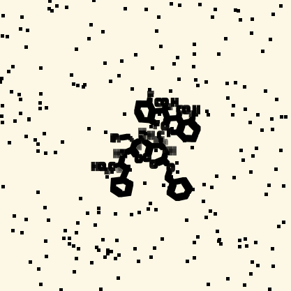 CC(C)C[C@H](NC(=O)[C@@H](C)NC(=O)OCc1ccccc1)C(=O)N[C@@H](Cc1ccccc1)C(=O)O.O=C(O)C(C(=O)C(C(=O)O)c1c(F)cccc1F)c1c(F)cccc1F